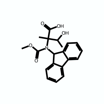 COC(=O)N(C1c2ccccc2-c2ccccc21)C(C)(C(=O)O)C(C)O